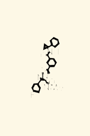 CNC(=O)c1c(-c2ccc(F)cc2)nc2sc(-c3cccc(C(=O)NC4(c5ccccc5)CC4)c3)cn12